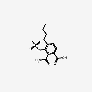 CCCCc1ccc(C(=O)O)c(C(N)=O)c1OS(C)(=O)=O